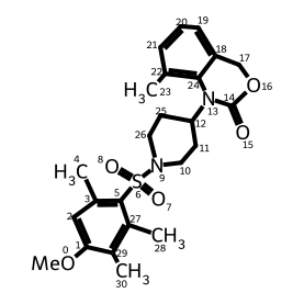 COc1cc(C)c(S(=O)(=O)N2CCC(N3C(=O)OCc4cccc(C)c43)CC2)c(C)c1C